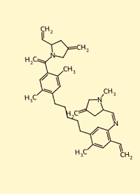 C=Cc1cc(C)c(CCCCCc2cc(C)c(C(=C)N3CC(=C)CC3C=C)cc2C)cc1/N=C\C1CC(=C)CN1C